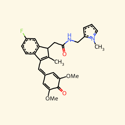 COC1=CC(=CC2=C(C)C(CC(=O)NCc3cccn3C)c3cc(F)ccc32)C=C(OC)C1=O